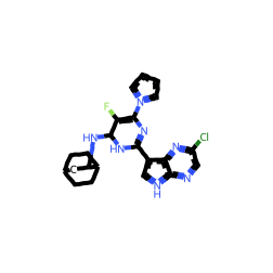 FC1=C(n2cccc2)N=C(c2c[nH]c3ncc(Cl)nc23)NC1NC1CC2CCC1CC2